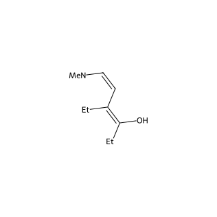 CC/C(O)=C(/C=C\NC)CC